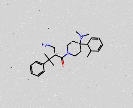 CC1C=CC=CC1C1(N(C)C)CCN(C(=O)[C@H](CN)C(C)(C)c2ccccc2)CC1